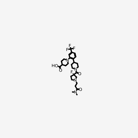 CN(C)C(=O)CCN1CC[C@](F)(C(=O)N2CCC(c3ccc(C(F)(F)F)cc3N3CCC(C(=O)O)CC3)CC2)C1